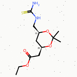 CCOC(=O)C[C@H]1C[C@@H](CNC(N)=S)OC(C)(C)O1